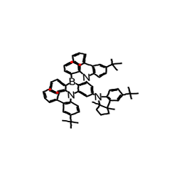 CC(C)(C)c1ccc(N2c3ccccc3B3c4ccccc4N(c4ccc(C(C)(C)C)cc4-c4ccccc4)c4cc(N5c6ccc(C(C)(C)C)cc6C6(C)CCCC56C)cc2c43)c(-c2ccccc2)c1